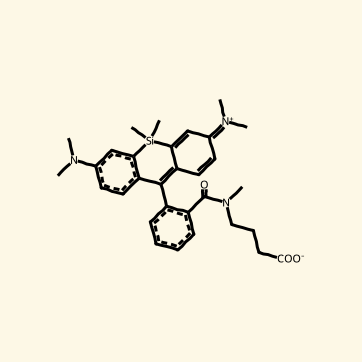 CN(CCCC(=O)[O-])C(=O)c1ccccc1C1=C2C=CC(=[N+](C)C)C=C2[Si](C)(C)c2cc(N(C)C)ccc21